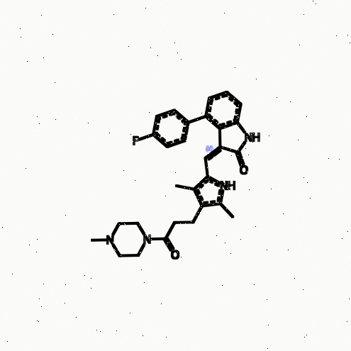 Cc1[nH]c(/C=C2\C(=O)Nc3cccc(-c4ccc(F)cc4)c32)c(C)c1CCC(=O)N1CCN(C)CC1